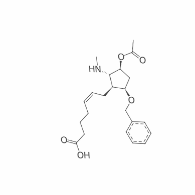 CN[C@H]1[C@H](C/C=C\CCCC(=O)O)[C@H](OCc2ccccc2)C[C@@H]1OC(C)=O